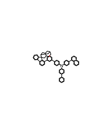 c1ccc(-c2ccc(N(c3ccc(-c4cccc(-c5cccc6c5C5(CC7CCC8CC7CC5C8)c5ccccc5-6)c4)cc3)c3ccc(-c4cccc5ccccc45)cc3)cc2)cc1